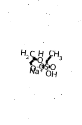 C=C(O)C[O-].CCCS(=O)(=O)O.[Na+]